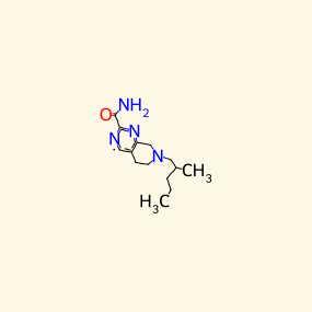 CCCC(C)CN1CCc2[c]nc(C(N)=O)nc2C1